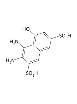 Nc1c(S(=O)(=O)O)cc2cc(S(=O)(=O)O)cc(O)c2c1N